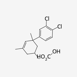 CC1=CC(C)(c2ccc(Cl)c(Cl)c2)CC(C)C1.O=C(O)O